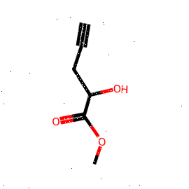 C#CCC(O)C(=O)OC